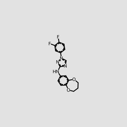 Fc1ccc(-n2cnc(Nc3ccc4c(c3)OCCCO4)n2)cc1F